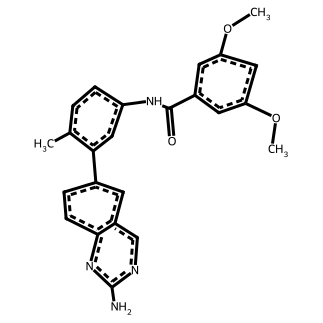 COc1cc(OC)cc(C(=O)Nc2ccc(C)c(-c3ccc4nc(N)ncc4c3)c2)c1